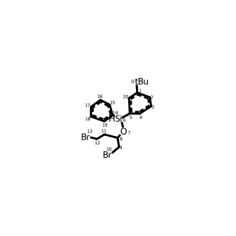 CC(C)(C)c1cccc([SiH](OC(CBr)CCBr)c2ccccc2)c1